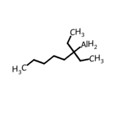 CCCCC[C]([AlH2])(CC)CC